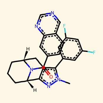 Cn1nc2c(c1-c1cc(F)cc(F)c1)C[C@H]1CCC[C@@H]2N1C(=O)c1ccc2cncnc2c1